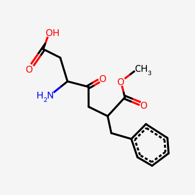 COC(=O)C(CC(=O)C(N)CC(=O)O)Cc1ccccc1